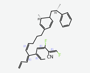 C=C/C=C(\C=C/CCCC1=C[C@H](C)C(C[C@H](C)c2ccccc2)C=C1)C(/C=C(F)\C(C#N)=C\F)=C/C